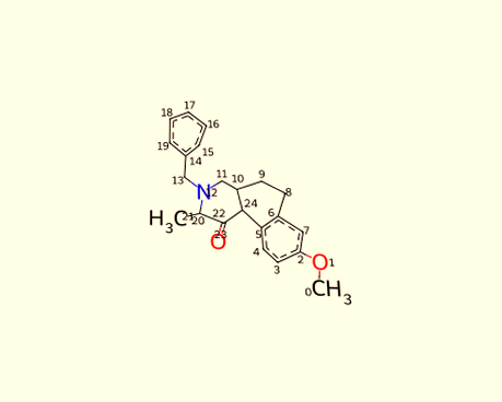 COc1ccc2c(c1)CCC1CN(Cc3ccccc3)C(C)C(=O)C21